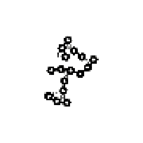 c1ccc(-c2ccc3c4ccc(-c5cccc(-c6ccc7c8ccccc8n(-c8ccc(-c9ccc(-n%10c%11ccccc%11c%11ccc%12oc%13ccccc%13c%12c%11%10)cc9)cc8)c7c6)c5)cc4n(-c4ccc(-c5ccc(-n6c7ccccc7c7ccc8c9ccccc9oc8c76)cc5)cc4)c3c2)cc1